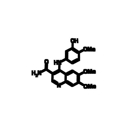 COc1ccc(Nc2c(C(N)=O)cnc3cc(OC)c(OC)cc23)cc1O